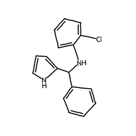 Clc1ccccc1NC(c1ccccc1)c1ccc[nH]1